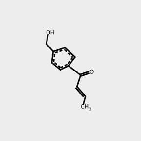 CC=CC(=O)c1ccc(CO)cc1